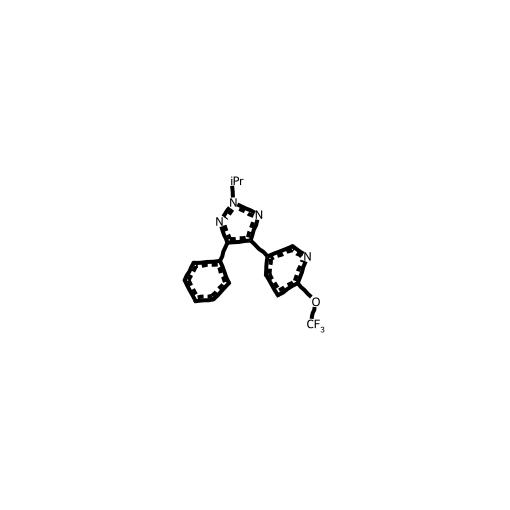 CC(C)n1nc(-c2ccccc2)c(-c2ccc(OC(F)(F)F)nc2)n1